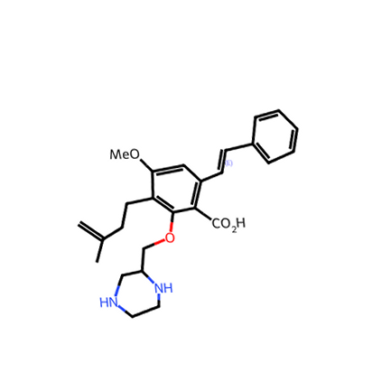 C=C(C)CCc1c(OC)cc(/C=C/c2ccccc2)c(C(=O)O)c1OCC1CNCCN1